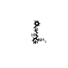 Nc1nnccc1CNCCOCc1ccccc1